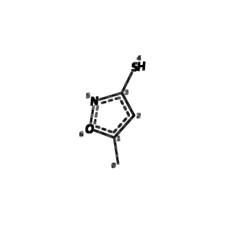 Cc1cc(S)no1